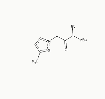 CCCCC(CC)C(=O)Cn1ccc(C(F)(F)F)n1